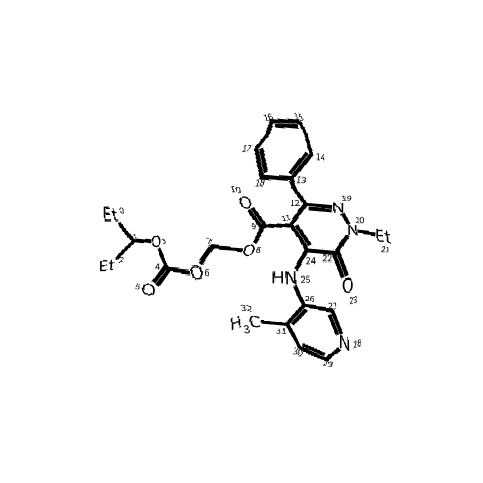 CCC(CC)OC(=O)OCOC(=O)c1c(-c2ccccc2)nn(CC)c(=O)c1Nc1cnccc1C